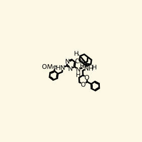 COc1ccccc1CNc1ncc(C#N)c(NC[C@@]23CC4C[C@H](C2)[C@@H](NCC2CCOC(c5ccccc5)O2)[C@@H](C4)C3)n1